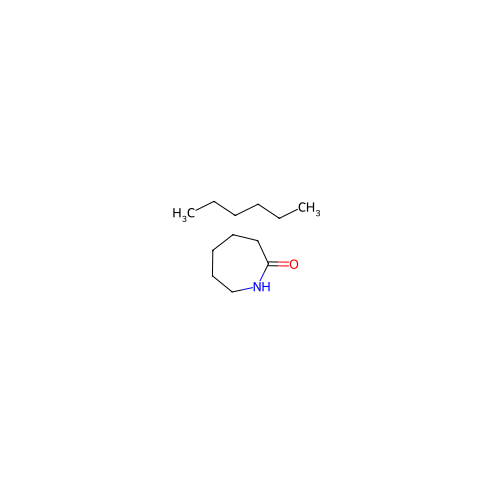 CCCCCC.O=C1CCCCCN1